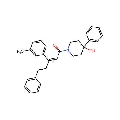 O=C(/C=C(/CCc1ccccc1)c1cccc(C(F)(F)F)c1)N1CCC(O)(c2ccccc2)CC1